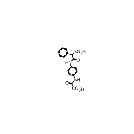 O=C(O)C(=O)Nc1ccc(NC(=O)C(c2ccccc2)S(=O)(=O)O)cc1